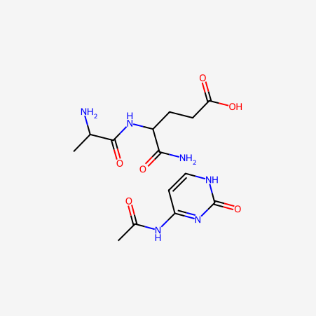 CC(=O)Nc1cc[nH]c(=O)n1.CC(N)C(=O)NC(CCC(=O)O)C(N)=O